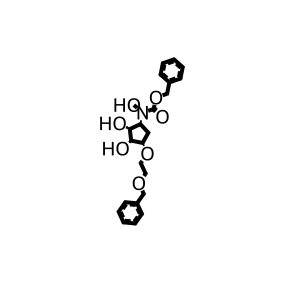 O=C(OCc1ccccc1)N(O)[C@@H]1C[C@H](OCCOCc2ccccc2)[C@@H](O)[C@H]1O